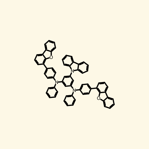 c1ccc(N(c2ccc(-c3cccc4c3oc3ccccc34)cc2)c2cc(N(c3ccccc3)c3ccc(-c4cccc5c4oc4ccccc45)cc3)cc(-n3c4ccccc4c4ccccc43)c2)cc1